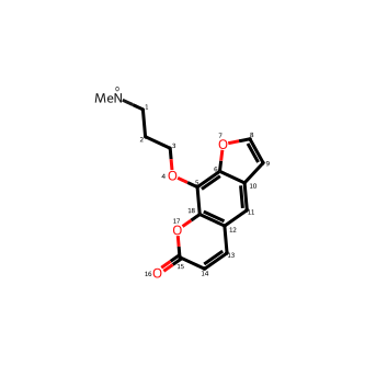 CNCCCOc1c2occc2cc2ccc(=O)oc12